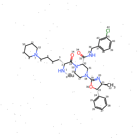 CC[C@@H](C)N[C@H](CCCCN1CCCCC1)C(=O)N1CCN(C2=N[C@@H](C)[C@H](c3ccccc3)O2)C[C@H]1C(=O)NCc1cccc(Cl)c1